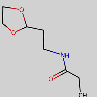 CCC(=O)NCCC1OCCO1